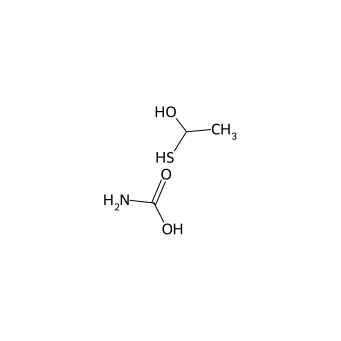 CC(O)S.NC(=O)O